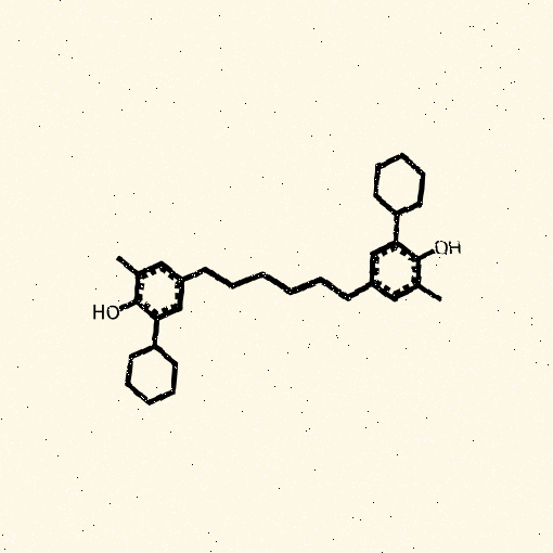 Cc1cc(CCCCCCc2cc(C)c(O)c(C3CCCCC3)c2)cc(C2CCCCC2)c1O